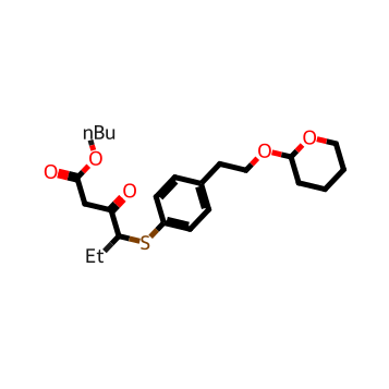 CCCCOC(=O)CC(=O)C(CC)Sc1ccc(CCOC2CCCCO2)cc1